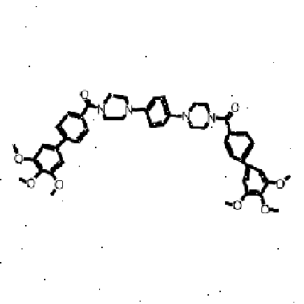 COc1cc(-c2ccc(C(=O)N3CCN(c4ccc(N5CCN(C(=O)c6ccc(-c7cc(OC)c(OC)c(OC)c7)cc6)CC5)cc4)CC3)cc2)cc(OC)c1OC